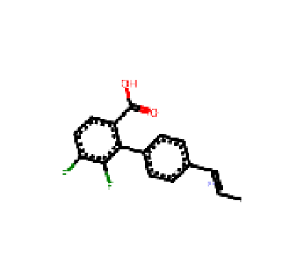 C/C=C/c1ccc(-c2c(C(=O)O)ccc(F)c2F)cc1